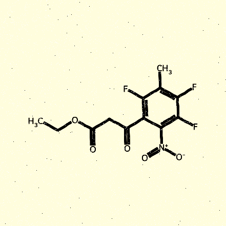 CCOC(=O)CC(=O)c1c(F)c(C)c(F)c(F)c1[N+](=O)[O-]